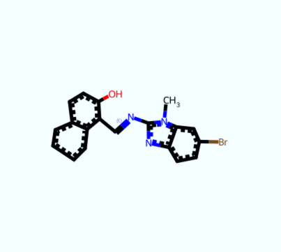 Cn1c(/N=C/c2c(O)ccc3ccccc23)nc2ccc(Br)cc21